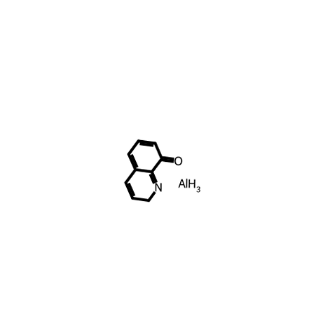 O=C1C=CC=C2C=CCN=C12.[AlH3]